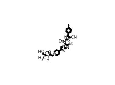 CCc1nc2sc(C3CCN(CC(=O)NC(C)(C)CO)CC3)cn2c1N(CC)c1nc(-c2ccc(F)cc2)c(C#N)s1